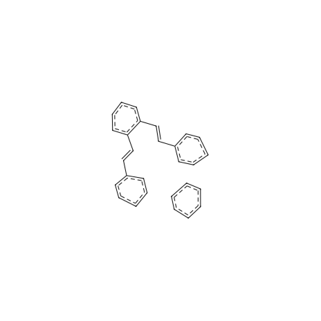 C(=Cc1ccccc1C=Cc1ccccc1)c1ccccc1.c1ccccc1